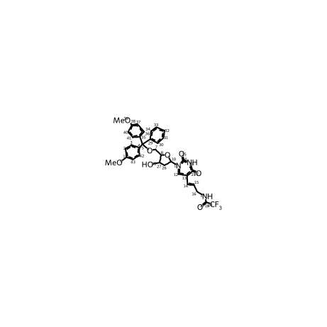 COc1ccc(C(OCC2OC(n3cc(/C=C/CNC(=O)C(F)(F)F)c(=O)[nH]c3=O)CC2O)(c2ccccc2)c2ccc(OC)cc2)cc1